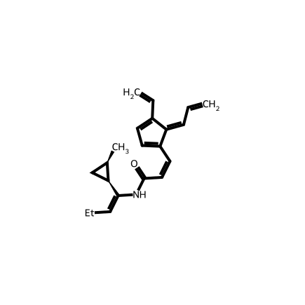 C=C/C=C1\C(C=C)=CC=C1/C=C\C(=O)N/C(=C/CC)[C@H]1C[C@H]1C